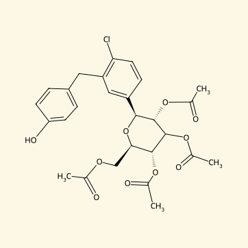 CC(=O)OC[C@H]1O[C@@H](c2ccc(Cl)c(Cc3ccc(O)cc3)c2)[C@H](OC(C)=O)C(OC(C)=O)[C@@H]1OC(C)=O